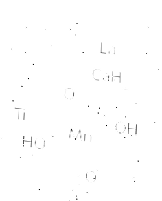 [CaH2].[La].[O]=[Mn](=[O])([OH])[OH].[Ti]